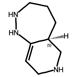 C1=C2NNCCC[C@H]2CNC1